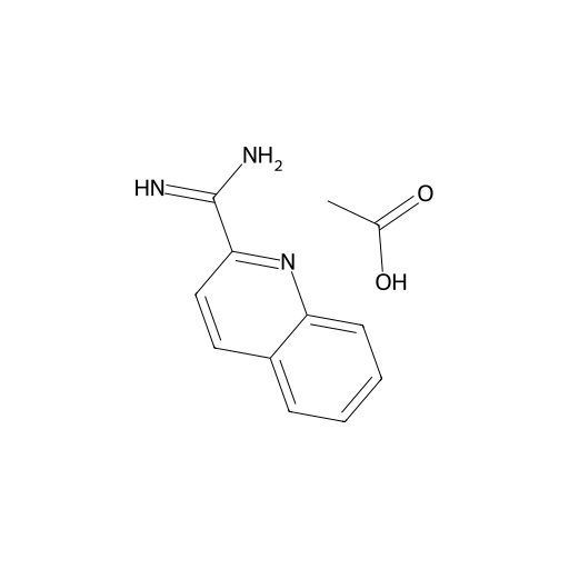 CC(=O)O.N=C(N)c1ccc2ccccc2n1